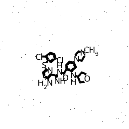 CN1CCN(c2ccc(C(=O)NC(=N)c3nc(Sc4cc(Cl)ccc4Cl)ccc3N)c(NC3CCOCC3)c2)CC1